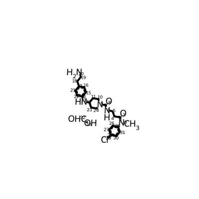 CN(C(=O)CCNC(=O)N1CCC(Nc2ccc(CCN)cc2)CC1)c1ccc(Cl)cc1.O=CO